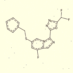 Fc1cc(SCc2ccccc2)cn2c(-c3nnc(C(F)F)o3)ncc12